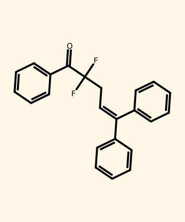 O=C(c1ccccc1)C(F)(F)CC=C(c1ccccc1)c1ccccc1